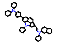 C(=C\N(c1ccccc1)c1ccc2ccccc2c1)/c1cc2ccc3cc(-c4ccc(N(c5ccccc5)c5ccccc5)cc4)cc4c3c2c(c1)n4-c1ccccc1